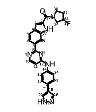 O=C(c1cc2ccc(-c3nccc(Nc4ccc(-c5cn[nH]c5)cc4)n3)cc2[nH]1)N1CC[C@@H](F)C1